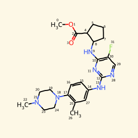 COC(=O)C1CCCC1Nc1nc(Nc2ccc(N3CCN(C)CC3)c(C)c2)ncc1F